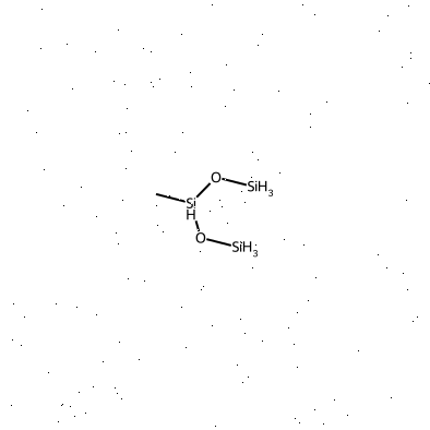 C[SiH](O[SiH3])O[SiH3]